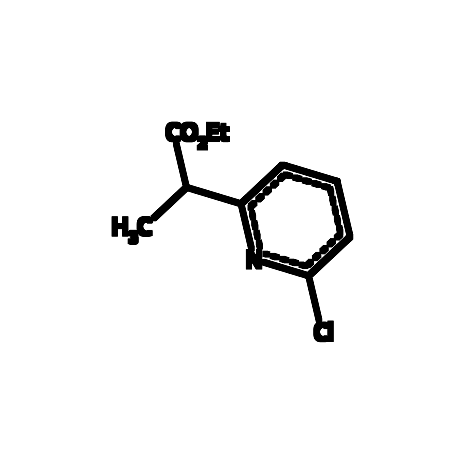 CCOC(=O)C(C)c1cccc(Cl)n1